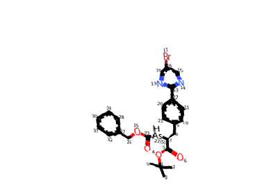 CC(C)(C)OC(=O)[C@H](Cc1ccc(-c2ncc(Br)cn2)cc1)[AsH]C(=O)OCc1ccccc1